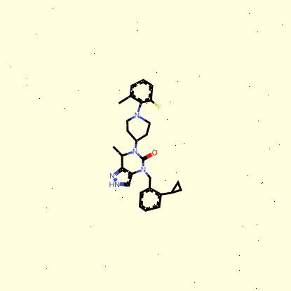 Cc1cccc(F)c1N1CCC(N2C(=O)N(Cc3ccccc3C3CC3)c3c[nH]nc3C2C)CC1